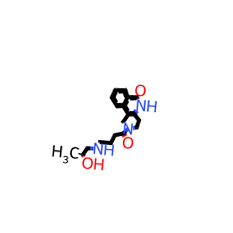 C[C@@H](O)CNCCCC(=O)N1CCc2[nH]c(=O)c3ccccc3c2C1